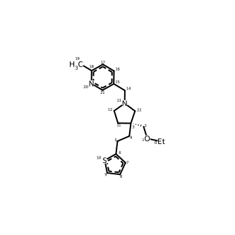 CCOC[C@]1(CCc2cccs2)CCN(Cc2ccc(C)nc2)C1